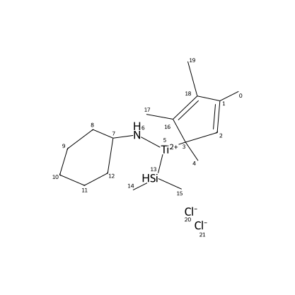 CC1=C[C](C)([Ti+2]([NH]C2CCCCC2)[SiH](C)C)C(C)=C1C.[Cl-].[Cl-]